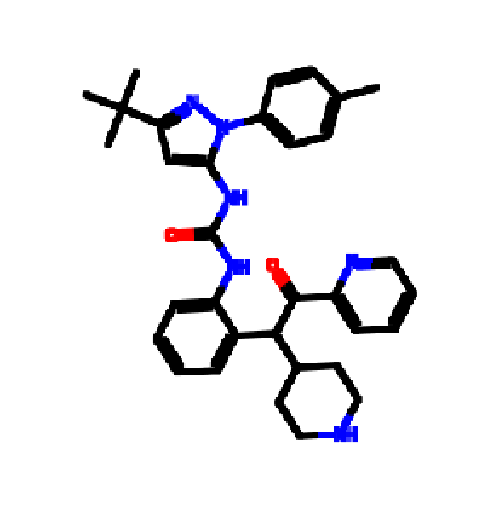 Cc1ccc(-n2nc(C(C)(C)C)cc2NC(=O)Nc2ccccc2C(C(=O)c2ccccn2)C2CCNCC2)cc1